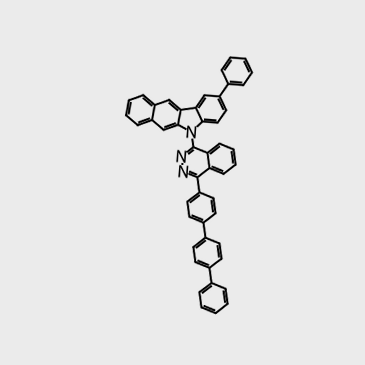 c1ccc(-c2ccc(-c3ccc(-c4nnc(-n5c6ccc(-c7ccccc7)cc6c6cc7ccccc7cc65)c5ccccc45)cc3)cc2)cc1